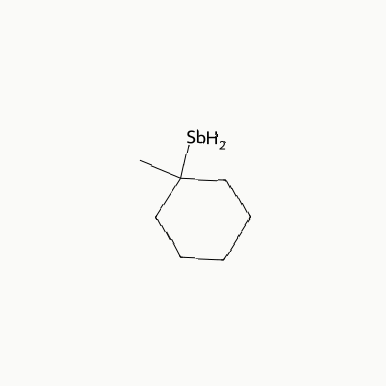 C[C]1([SbH2])CCCCC1